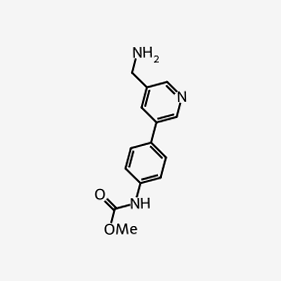 COC(=O)Nc1ccc(-c2cncc(CN)c2)cc1